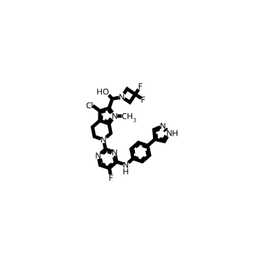 Cn1c2c(c(Cl)c1C(O)N1CC(F)(F)C1)CCN(c1ncc(F)c(Nc3ccc(-c4cn[nH]c4)cc3)n1)C2